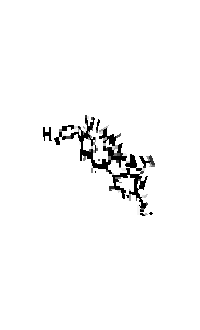 CCSc1ncc2c(n1)NC(=O)C2=Cc1cc(C)c(C)s1